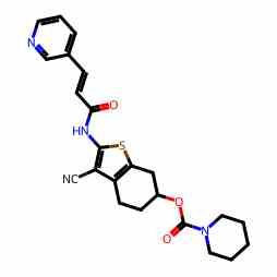 N#Cc1c(NC(=O)C=Cc2cccnc2)sc2c1CCC(OC(=O)N1CCCCC1)C2